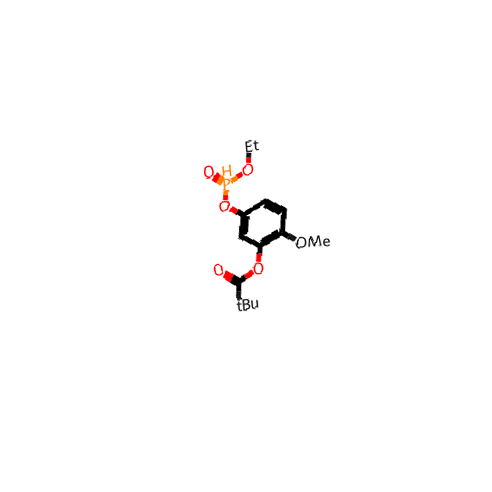 CCO[PH](=O)Oc1ccc(OC)c(OC(=O)C(C)(C)C)c1